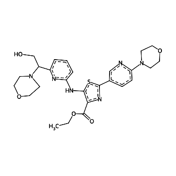 CCOC(=O)c1nc(-c2ccc(N3CCOCC3)nc2)sc1Nc1cccc(C(CO)N2CCOCC2)n1